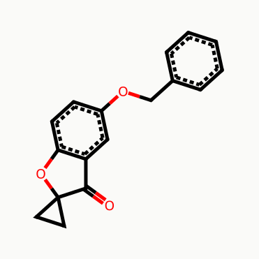 O=C1c2cc(OCc3ccccc3)ccc2OC12CC2